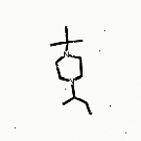 CCC(C)N1CCN(C(C)(C)C)CC1